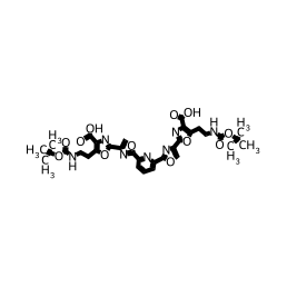 CC(C)(C)OC(=O)NCCc1oc(-c2coc(-c3cccc(-c4nc(-c5nc(C(=O)O)c(CCNC(=O)OC(C)(C)C)o5)co4)n3)n2)nc1C(=O)O